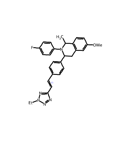 CCn1nnc(/C=C/c2ccc(C3Cc4cc(OC)ccc4C(C)N3c3ccc(F)cc3)cc2)n1